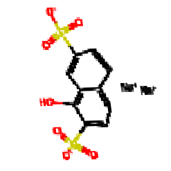 O=S(=O)([O-])c1ccc2ccc(S(=O)(=O)[O-])c(O)c2c1.[Na+].[Na+]